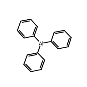 c1cc[c]([Al]([c]2ccccc2)[c]2ccccc2)cc1